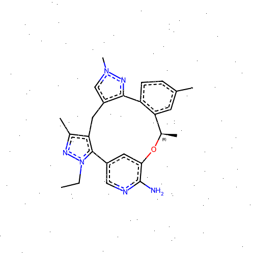 CCn1nc(C)c2c1-c1cnc(N)c(c1)O[C@H](C)c1cc(C)ccc1-c1nn(C)cc1C2